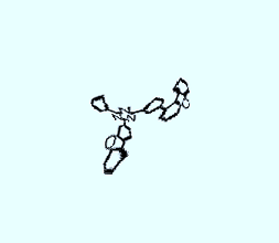 C1=CC2Oc3ccccc3C2C(c2cccc(-c3nc(-c4ccccc4)nc(-c4ccc5c(c4)oc4ccccc45)n3)c2)=C1